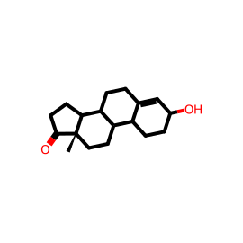 C[C@]12CCC3C4CCC(O)C=C4CCC3C1CCC2=O